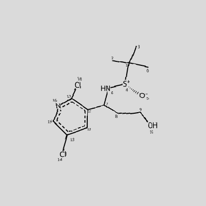 CC(C)(C)[S@+]([O-])NC(CCO)c1cc(Cl)cnc1Cl